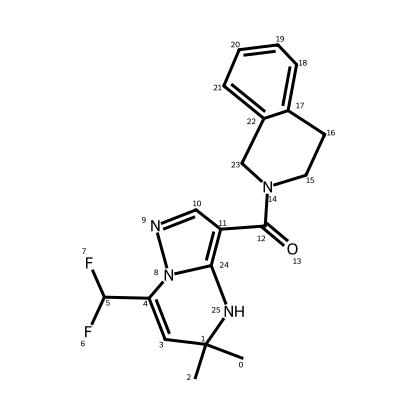 CC1(C)C=C(C(F)F)n2ncc(C(=O)N3CCc4ccccc4C3)c2N1